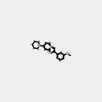 COc1cccc(-c2cn3ccc(N4CCCCC4)cc3n2)c1